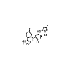 CCn1nc(C)cc1Nc1cc(Nc2cc(F)ccc2C(=O)NOC)c(Cl)cn1